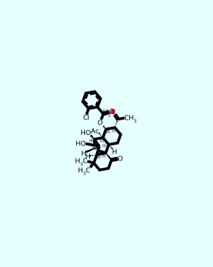 C=C(C)[C@@H]1CC[C@H]2[C@@]34CO[C@@](O)([C@@H](O)[C@@H]3C(C)(C)CCC4=O)[C@@]2(C(C)=O)[C@@H]1OC(=O)c1ccccc1Cl